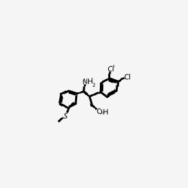 CSc1cccc(C(N)C(CO)c2ccc(Cl)c(Cl)c2)c1